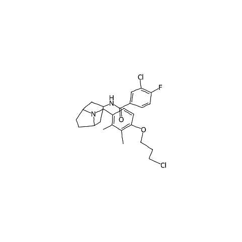 Cc1c(CN2C3CCC2CC(NC(=O)c2ccc(F)c(Cl)c2)C3)ccc(OCCCCl)c1C